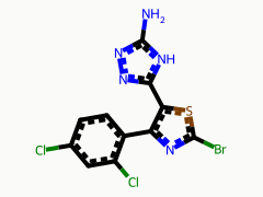 Nc1nnc(-c2sc(Br)nc2-c2ccc(Cl)cc2Cl)[nH]1